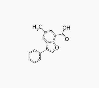 Cc1cc(C(=O)O)c2occ(-c3ccccc3)c2c1